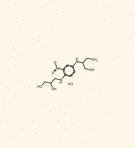 CCC(CO)Nc1ccc(NCC(O)CO)c([N+](=O)[O-])c1.Cl